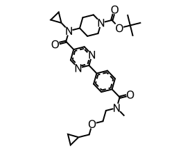 CN(CCOCC1CC1)C(=O)c1ccc(-c2ncc(C(=O)N(C3CC3)C3CCN(C(=O)OC(C)(C)C)CC3)cn2)cc1